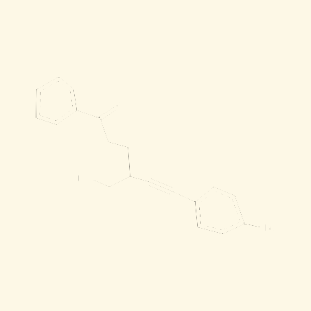 CC(C)(C)c1ccc(C#CC(CCC(=O)c2ccccc2)CC(F)(F)F)cc1